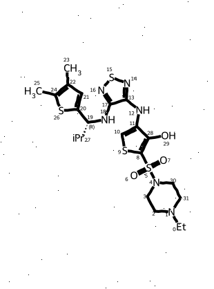 CCN1CCN(S(=O)(=O)c2scc(Nc3nsnc3N[C@@H](c3cc(C)c(C)s3)C(C)C)c2O)CC1